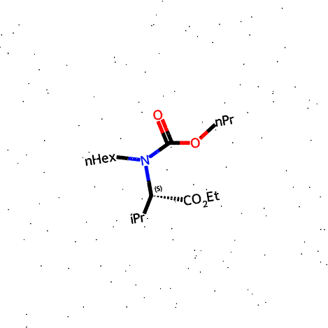 CCCCCCN(C(=O)OCCC)[C@H](C(=O)OCC)C(C)C